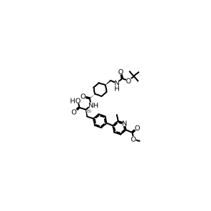 COC(=O)c1ccc(-c2ccc(C[C@H](NC(=O)[C@H]3CC[C@H](CNC(=O)OC(C)(C)C)CC3)C(=O)O)cc2)c(C)n1